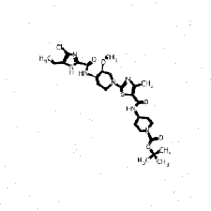 CCc1[nH]c(C(=O)N[C@@H]2CCN(c3nc(C)c(C(=O)NC4CCN(C(=O)OC(C)(C)C)CC4)s3)C[C@@H]2OC)nc1Cl